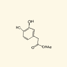 COC(=O)Cc1ccc(O)c(O)c1